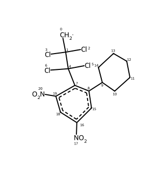 [CH2]C(Cl)(Cl)C(Cl)(Cl)c1c(C2CCCCC2)cc([N+](=O)[O-])cc1[N+](=O)[O-]